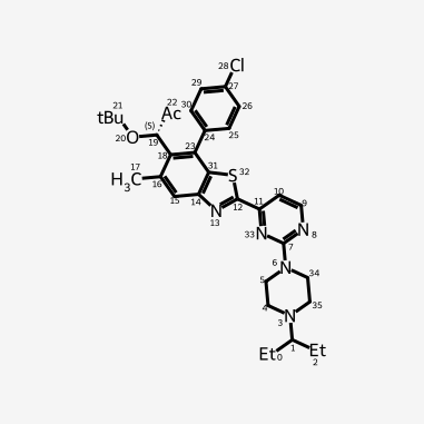 CCC(CC)N1CCN(c2nccc(-c3nc4cc(C)c([C@H](OC(C)(C)C)C(C)=O)c(-c5ccc(Cl)cc5)c4s3)n2)CC1